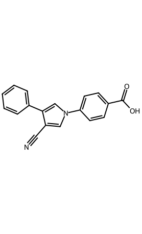 N#Cc1cn(-c2ccc(C(=O)O)cc2)cc1-c1ccccc1